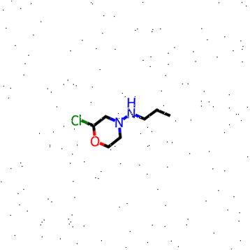 CCCNN1CCOC(Cl)C1